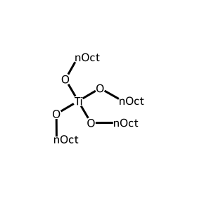 CCCCCCCC[O][Ti]([O]CCCCCCCC)([O]CCCCCCCC)[O]CCCCCCCC